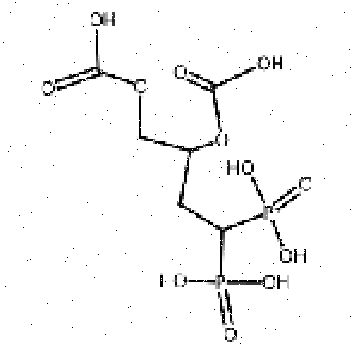 O=C(O)OCC(CC(P(=O)(O)O)P(=O)(O)O)OC(=O)O